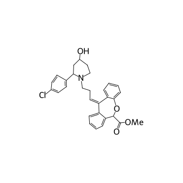 COC(=O)C1Oc2ccccc2C(=CCCN2CCC(O)CC2c2ccc(Cl)cc2)c2ccccc21